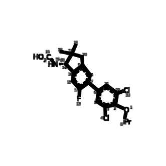 CC(C)Oc1c(Cl)cc(-c2cc3c(cc2F)[C@H](NC(=O)O)C(C)(C)C3)cc1Cl